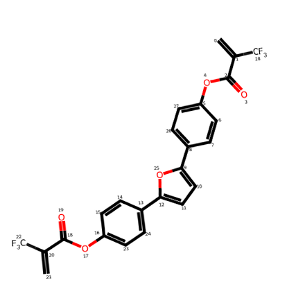 C=C(C(=O)Oc1ccc(-c2ccc(-c3ccc(OC(=O)C(=C)C(F)(F)F)cc3)o2)cc1)C(F)(F)F